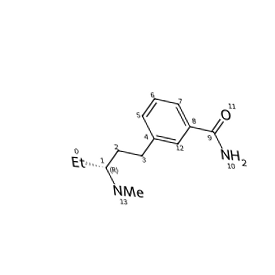 CC[C@H](CCc1cccc(C(N)=O)c1)NC